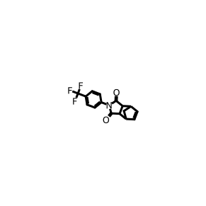 O=C1C2C3C=CC(C3)C2C(=O)N1c1ccc(C(F)(F)F)cc1